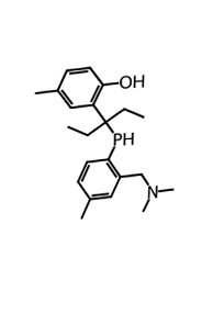 CCC(CC)(Pc1ccc(C)cc1CN(C)C)c1cc(C)ccc1O